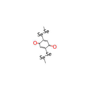 C[Se][Se]C1=CC(=O)C([Se][Se]C)=CC1=O